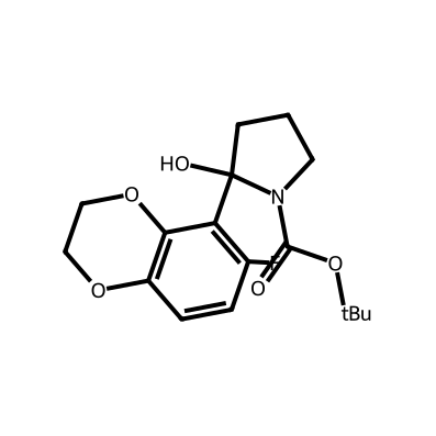 CC(C)(C)OC(=O)N1CCCC1(O)c1c(F)ccc2c1OCCO2